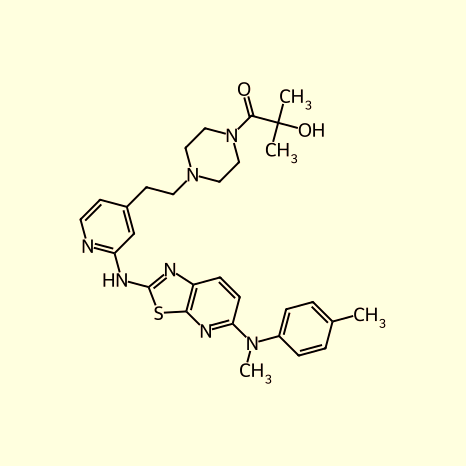 Cc1ccc(N(C)c2ccc3nc(Nc4cc(CCN5CCN(C(=O)C(C)(C)O)CC5)ccn4)sc3n2)cc1